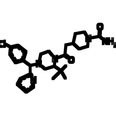 CC(C)(C)C1CN(C(c2ccc(Cl)cc2)c2ccccn2)CCN1C(=O)CC1CCN(C(N)=O)CC1